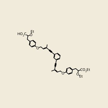 CCOC(=O)C(Cc1ccc(OCC=C(C)C#Cc2cccc(C#CC(C)=CCOc3ccc(CC(OCC)C(=O)O)cc3)c2)cc1)OCC